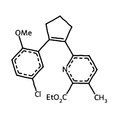 CCOC(=O)c1nc(C2=C(c3cc(Cl)ccc3OC)CCC2)ccc1C